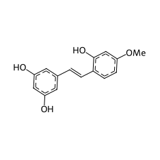 COc1ccc(/C=C/c2cc(O)cc(O)c2)c(O)c1